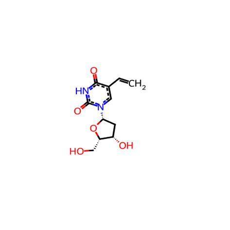 C=Cc1cn([C@@H]2C[C@H](O)[C@H](CO)O2)c(=O)[nH]c1=O